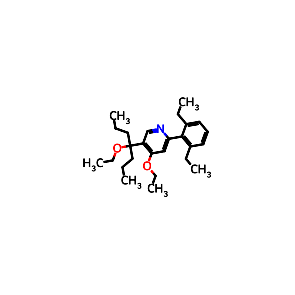 CCCC(CCC)(OCC)c1cnc(-c2c(CC)cccc2CC)cc1OCC